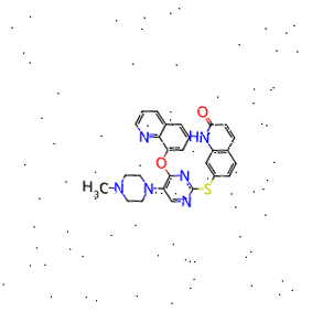 CN1CCN(c2cnc(Sc3ccc4ccc(=O)[nH]c4c3)nc2Oc2cccc3cccnc23)CC1